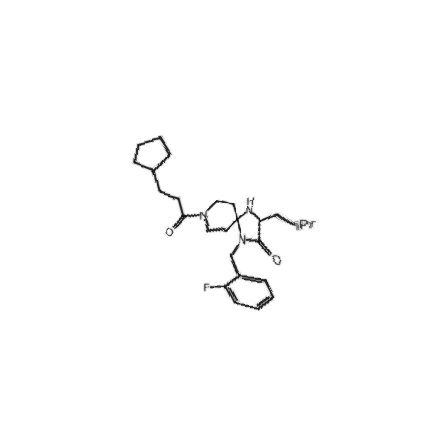 CC(C)CC1NC2(CCN(C(=O)CCC3CCCC3)CC2)N(Cc2ccccc2F)C1=O